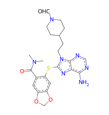 CN(C)C(=O)c1cc2c(cc1Sc1nc3c(N)ncnc3n1CCC1CCN(C=O)CC1)OCO2